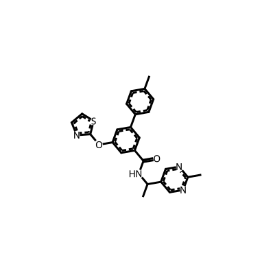 Cc1ccc(-c2cc(Oc3nccs3)cc(C(=O)NC(C)c3cnc(C)nc3)c2)cc1